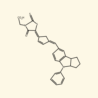 O=C(O)CN1C(=O)/C(=C2C=C/C(=C\c3ccc4c(c3)C3CCCC3N4c3ccccc3)C\2)SC1=S